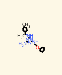 Cc1ccc([C@H](C)Nc2nc(N)nc(NCCOc3ccccc3)n2)cc1